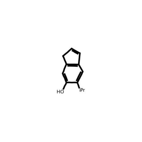 CC(C)c1cc2c(cc1O)CC=C2